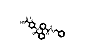 N=C(N)c1ccc(NC(=O)c2ccccc2-c2ccccc2C(=O)NOCc2ccccc2)cc1